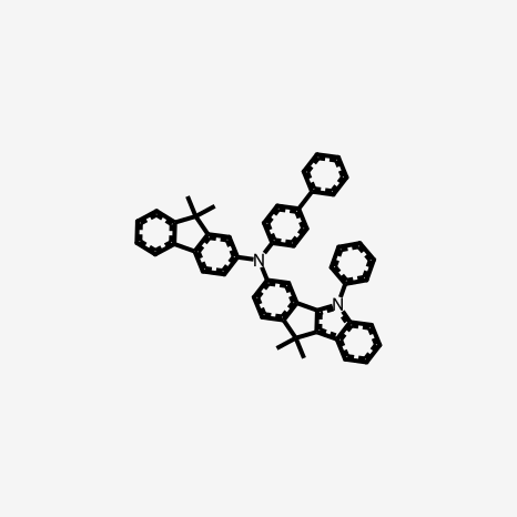 CC1(C)c2ccccc2-c2ccc(N(c3ccc(-c4ccccc4)cc3)c3ccc4c(c3)-c3c(c5ccccc5n3-c3ccccc3)C4(C)C)cc21